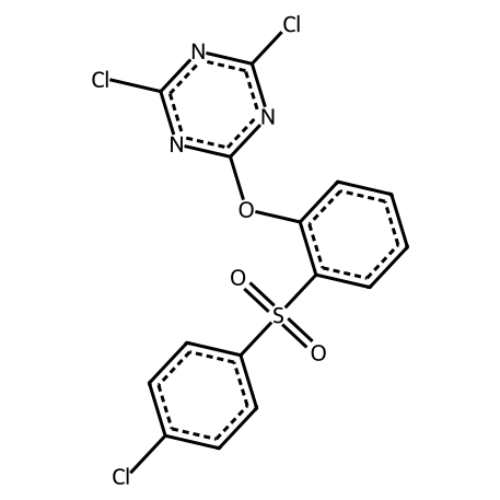 O=S(=O)(c1ccc(Cl)cc1)c1ccccc1Oc1nc(Cl)nc(Cl)n1